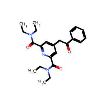 CCN(CC)C(=O)c1cc(CC(=O)c2ccccc2)cc(C(=O)N(CC)CC)n1